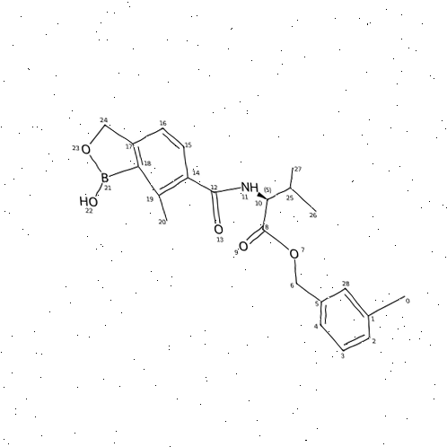 Cc1cccc(COC(=O)[C@@H](NC(=O)c2ccc3c(c2C)B(O)OC3)C(C)C)c1